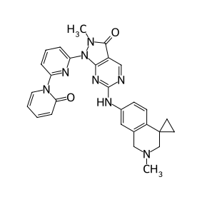 CN1Cc2cc(Nc3ncc4c(=O)n(C)n(-c5cccc(-n6ccccc6=O)n5)c4n3)ccc2C2(CC2)C1